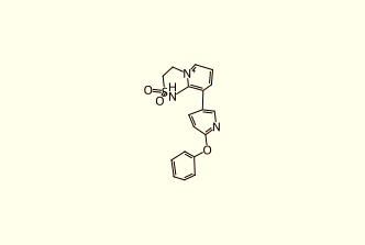 O=S1(=O)CC[n+]2cccc(-c3ccc(Oc4ccccc4)nc3)c2N1